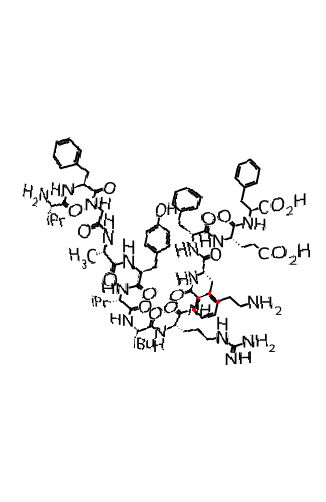 CC[C@H](C)[C@H](NC(=O)[C@@H](NC(=O)[C@H](Cc1ccc(O)cc1)NC(=O)[C@H](C)NC(=O)CNC(=O)[C@H](Cc1ccccc1)NC(=O)[C@@H](N)C(C)C)C(C)C)C(=O)N[C@@H](CCCNC(=N)N)C(=O)N[C@@H](CCCCN)C(=O)N[C@@H](Cc1ccccc1)C(=O)N[C@@H](Cc1ccccc1)C(=O)N[C@@H](CCC(=O)O)C(=O)N[C@@H](Cc1ccccc1)C(=O)O